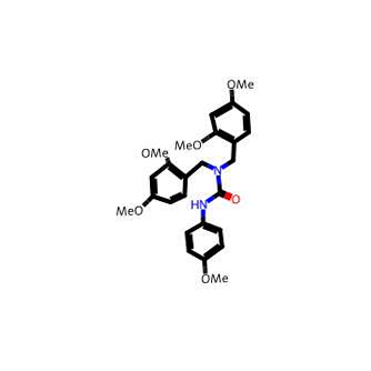 COc1ccc(NC(=O)N(Cc2ccc(OC)cc2OC)Cc2ccc(OC)cc2OC)cc1